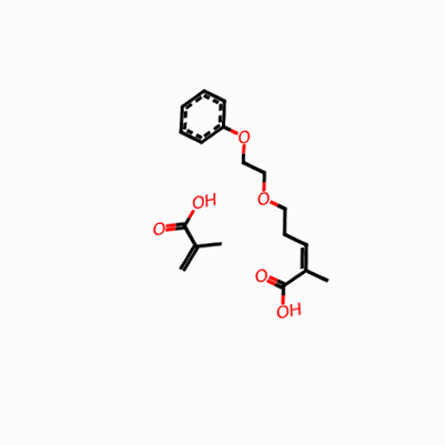 C=C(C)C(=O)O.CC(=CCCOCCOc1ccccc1)C(=O)O